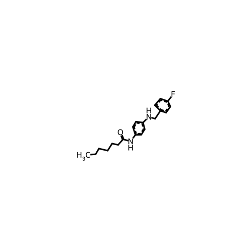 CCCCCCC(=O)Nc1ccc(NCc2ccc(F)cc2)cc1